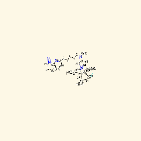 CCN(CCCCCc1ccc2c(n1)NCCC2)[C@@H]1CCN([C@@H](C(=O)O)c2cc(C(C)(C)C)cc(F)c2OC)C1